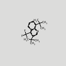 CC(C)(C)c1cnc2c(C(C)(C)C)cccc2c1C(F)(F)F